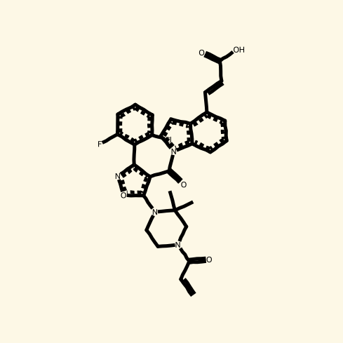 C=CC(=O)N1CCN(c2onc(-c3c(F)cccc3Cl)c2C(=O)n2ccc3c(/C=C/C(=O)O)cccc32)C(C)(C)C1